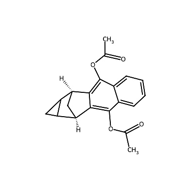 CC(=O)Oc1c2c(c(OC(C)=O)c3ccccc13)[C@@H]1C[C@H]2C2CC21